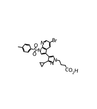 Cc1ccc(S(=O)(=O)n2cc(-c3cn(CCCC(=O)O)nc3C3CC3)c3cc(Br)cnc32)cc1